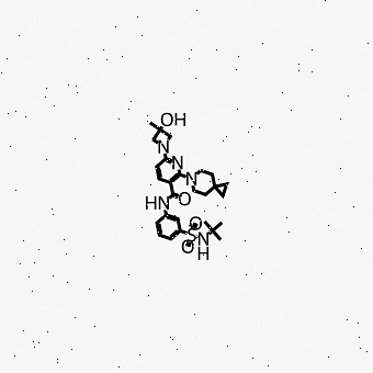 CC1(O)CN(c2ccc(C(=O)Nc3cccc(S(=O)(=O)NC(C)(C)C)c3)c(N3CCC4(CC3)CC4)n2)C1